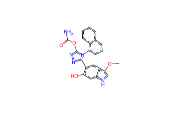 COc1c[nH]c2cc(O)c(-c3nnc(OC(N)=O)n3-c3cccc4ccccc34)cc12